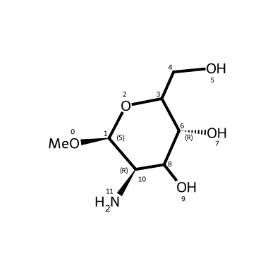 CO[C@H]1OC(CO)[C@H](O)C(O)[C@H]1N